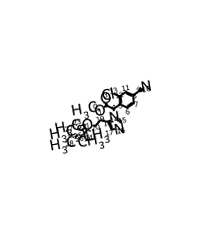 COC(=O)C(c1ccc(C#N)cc1Cl)n1cncc1CCO[Si](C)(C)C(C)(C)C